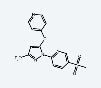 CS(=O)(=O)c1ccc(-n2nc(C(F)(F)F)cc2Oc2ccncc2)nc1